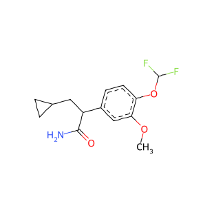 COc1cc(C(CC2CC2)C(N)=O)ccc1OC(F)F